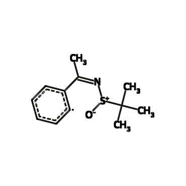 C/C(=N/[S+]([O-])C(C)(C)C)c1[c]cccc1